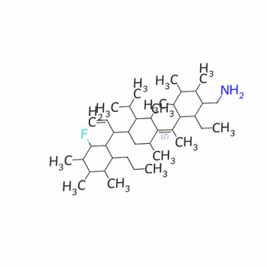 C=CC(C1CC(C)/C(=C(\C)C2C(C)C(C)C(C)C(CN)C2CC)C(C)C1C(C)C)C1C(F)C(C)C(C)C(C)C1CCC